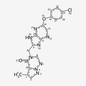 Cc1cnn2ncn(Cc3nc4ncc(Oc5ccc(Cl)cc5)nc4[nH]3)c(=O)c12